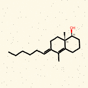 CCCCCC=C1CC[C@@]2(C)C(=C1C)CCC[C@@H]2O